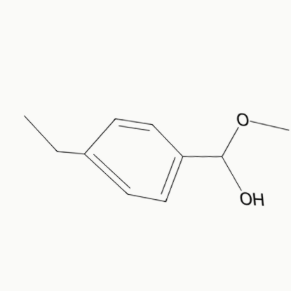 CCc1ccc(C(O)OC)cc1